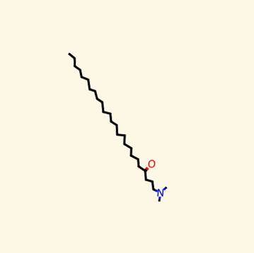 CCCCCCCCCCCCCCCCCCCCCC(=O)CCCN(C)C